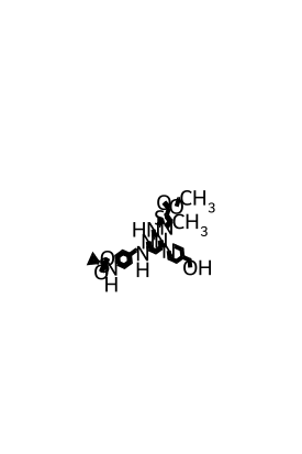 CCOC(=O)c1sc(Nc2nc(NCc3ccc(NS(=O)(=O)C4CC4)cc3)cc(N3CCC(CO)CC3)n2)nc1C